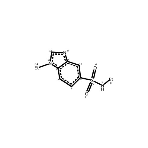 CCNS(=O)(=O)c1ccc2c(c1)ncn2CC